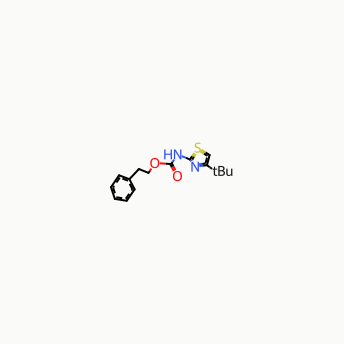 CC(C)(C)c1csc(NC(=O)OCCc2ccccc2)n1